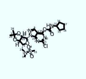 CN(C[C@H]1O[C@@H](n2ncc3c(OC(=O)NC4CCCC4)nc(Cl)nc32)[C@@H]2OC(C)(C)O[C@@H]21)S(C)(=O)=O